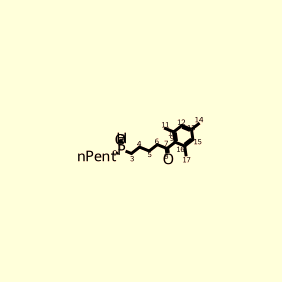 CCCCC[PH](=O)CCCCC(=O)c1c(C)cc(C)cc1C